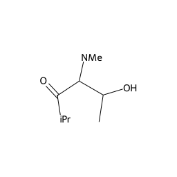 CNC(C(=O)C(C)C)C(C)O